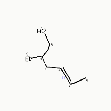 C/C=C/CC(CC)CO